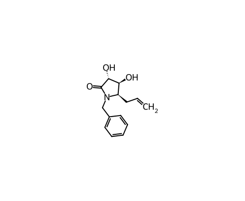 C=CC[C@@H]1[C@H](O)[C@@H](O)C(=O)N1Cc1ccccc1